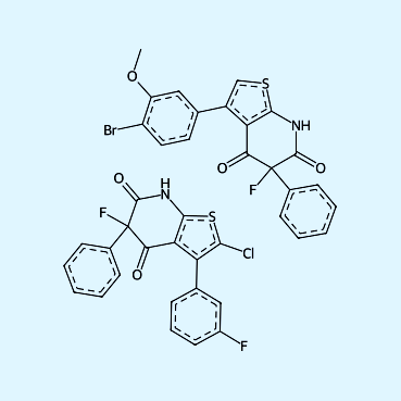 COc1cc(-c2csc3c2C(=O)C(F)(c2ccccc2)C(=O)N3)ccc1Br.O=C1Nc2sc(Cl)c(-c3cccc(F)c3)c2C(=O)C1(F)c1ccccc1